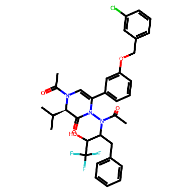 CC(=O)N1C=C(c2cccc(OCc3cccc(Cl)c3)c2)N(N(C(C)=O)C(Cc2ccccc2)C(O)C(F)(F)F)C(=O)[C@H]1C(C)C